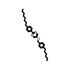 CCCCCCCCc1ccc(-c2ncc(OCc3ccc(CCCCCC)cc3)cn2)cc1